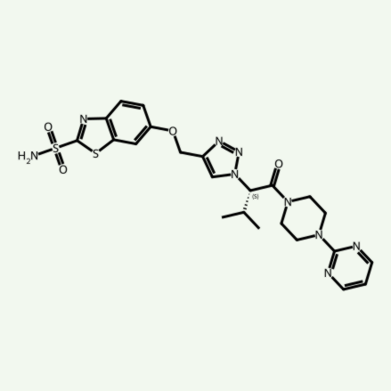 CC(C)[C@@H](C(=O)N1CCN(c2ncccn2)CC1)n1cc(COc2ccc3nc(S(N)(=O)=O)sc3c2)nn1